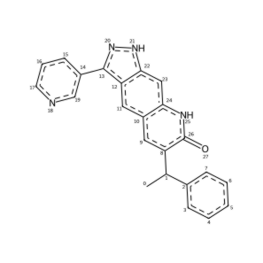 CC(c1ccccc1)c1cc2cc3c(-c4cccnc4)n[nH]c3cc2[nH]c1=O